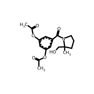 CC(=O)Oc1cc(OC(C)=O)cc(C(=O)N2CCCC2(C)CO)c1